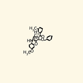 CCN(Nc1ccc(OC)cc1)C(=O)C(COCc1ccccc1)NC(=O)c1cccc(C)c1